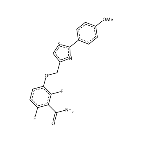 COc1ccc(-c2nc(COc3ccc(F)c(C(N)=O)c3F)cs2)cc1